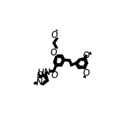 COCCCOc1cc(CCc2cc(OC)cc(OC)c2)cc(C(=O)Nc2ccn(C)n2)c1